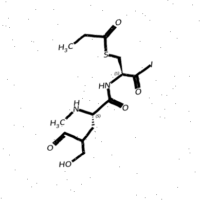 CCC(=O)SC[C@H](NC(=O)[C@H](CC(C=O)CO)NC)C(=O)I